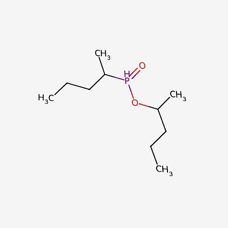 CCCC(C)O[PH](=O)C(C)CCC